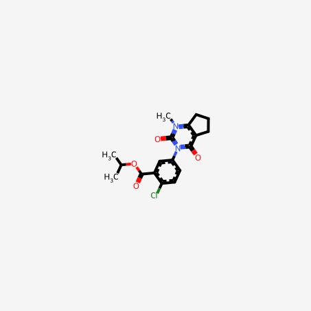 CC(C)OC(=O)c1cc(-n2c(=O)c3c(n(C)c2=O)CCC3)ccc1Cl